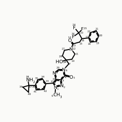 Cn1nc2c(=O)n(CC3(O)CCN(C(=O)CC(c4ccccc4)C(F)(F)F)CC3)cnc2c1-c1ccc(C2(N)CC2)cc1